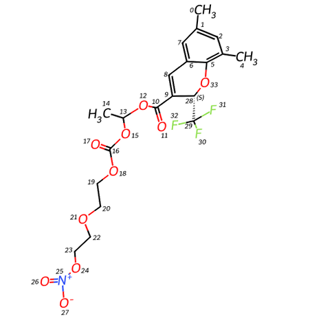 Cc1cc(C)c2c(c1)C=C(C(=O)OC(C)OC(=O)OCCOCCO[N+](=O)[O-])[C@@H](C(F)(F)F)O2